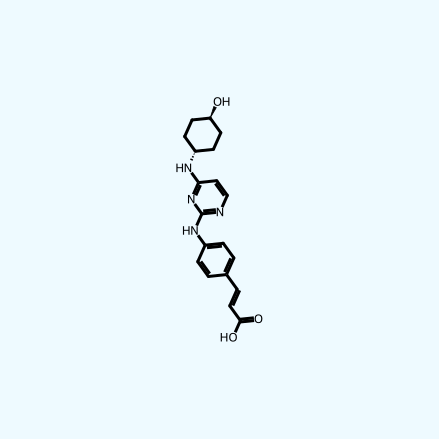 O=C(O)C=Cc1ccc(Nc2nccc(N[C@H]3CC[C@H](O)CC3)n2)cc1